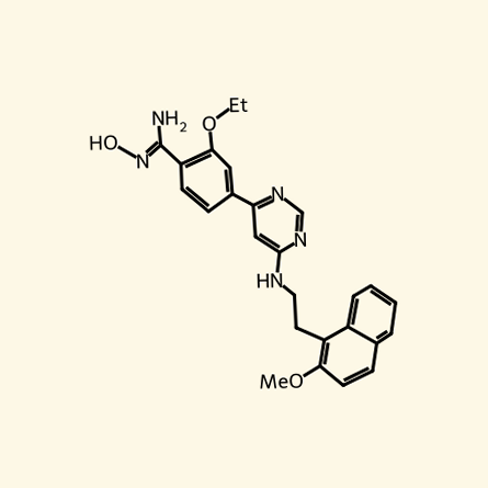 CCOc1cc(-c2cc(NCCc3c(OC)ccc4ccccc34)ncn2)ccc1/C(N)=N/O